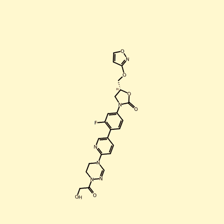 O=C(CO)N1CCN(c2ccc(-c3ccc(N4C[C@H](COc5ccon5)OC4=O)cc3F)cn2)C=N1